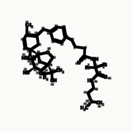 CCC(CC)(NC(=O)CCCc1ccc(CC2=C(C)C=CC(C)([C@]34OC[C@](C(C)(C)O)(O3)[C@@H](O)[C@H](O)[C@H]4O)C2)cc1)C(=O)NCCN(C)C